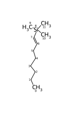 CCCCCCC=C[Si](C)(C)C